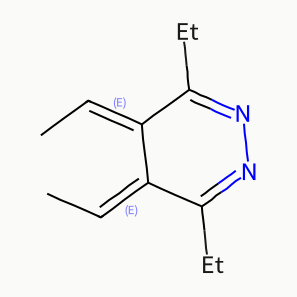 C/C=c1/c(CC)nnc(CC)/c1=C/C